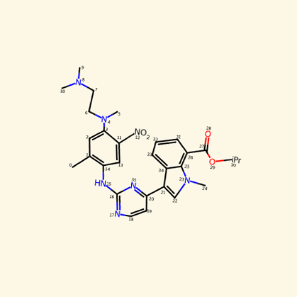 Cc1cc(N(C)CCN(C)C)c([N+](=O)[O-])cc1Nc1nccc(-c2cn(C)c3c(C(=O)OC(C)C)cccc23)n1